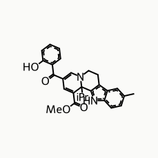 COC(=O)C1=CC(C(=O)c2ccccc2O)=CN2CCc3c([nH]c4ccc(C)cc34)C12C(C)C